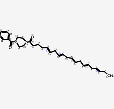 CC/C=C/C/C=C/C/C=C/C/C=C/C/C=C/CCCC(=O)N1CCN(C(=O)c2cccnc2)CC1